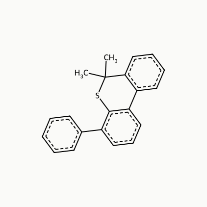 CC1(C)Sc2c(-c3ccccc3)cccc2-c2ccccc21